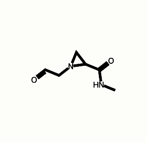 CNC(=O)C1CN1CC=O